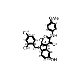 COc1ccc(NC(=O)C(=O)c2c(C(F)(F)F)n(Cc3ccc(Cl)cc3Cl)c3ccc(O)cc23)cc1